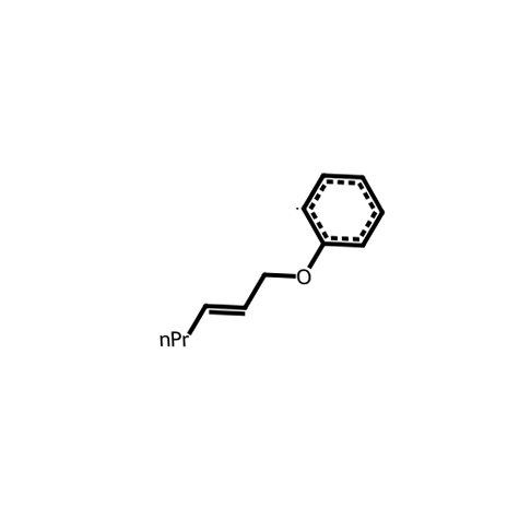 CCCC=CCOc1[c]cccc1